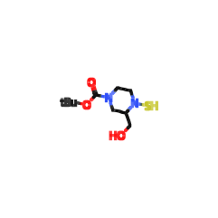 CC(C)(C)OC(=O)N1CCN(S)C(CO)C1